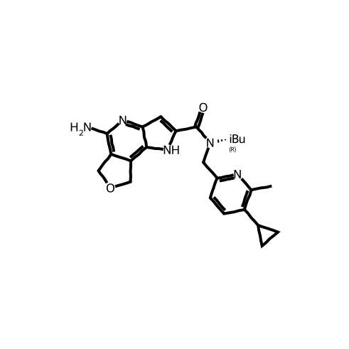 CC[C@@H](C)N(Cc1ccc(C2CC2)c(C)n1)C(=O)c1cc2nc(N)c3c(c2[nH]1)COC3